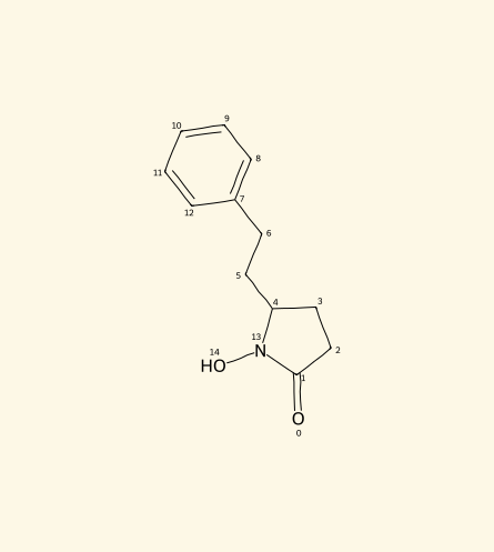 O=C1CCC(CCc2ccccc2)N1O